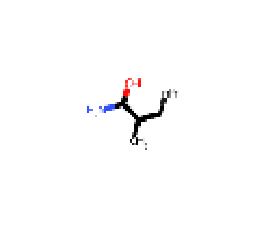 CCCCC(C)C(N)O